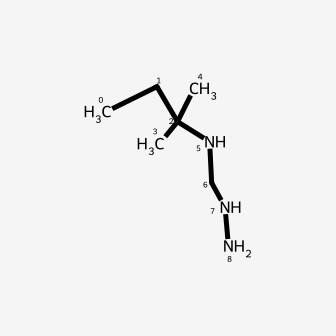 CCC(C)(C)NCNN